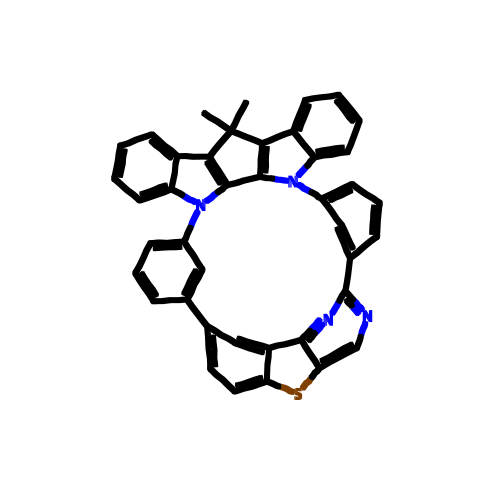 CC1(C)c2c3ccccc3n3c4cccc(c4)c4ccc5sc6cnc(nc6c5c4)c4cccc(c4)n4c5ccccc5c1c4c23